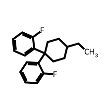 CCC1CCC(c2ccccc2F)(c2ccccc2F)CC1